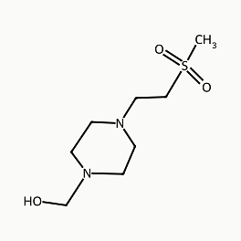 CS(=O)(=O)CCN1CCN(CO)CC1